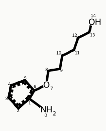 Nc1ccccc1OCCCCCCO